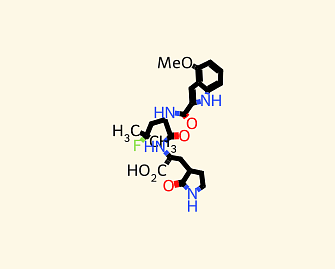 COc1cccc2[nH]c(C(=O)NC(CC(C)(C)F)C(=O)NC(CC3CCNC3=O)C(=O)O)cc12